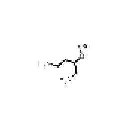 CCCCOC(CN)CCN